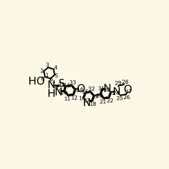 O[C@@H]1CCCC[C@H]1Nc1nc2ccc(Oc3cncc(-c4ccc(N5CCOCC5)nc4)c3)cc2s1